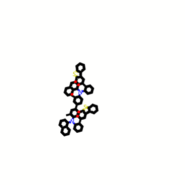 Cc1cc(-c2ccc(N(c3ccccc3-c3ccc4sc5ccccc5c4c3)c3cccc4ccccc34)c(C)c2)ccc1N(c1ccccc1-c1ccc2sc3ccccc3c2c1)c1cccc2ccccc12